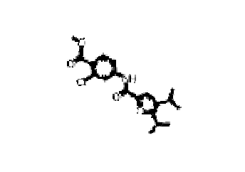 COC(=O)c1ccc(NC(=O)c2cc(C(C)C)c(C(C)C)o2)cc1Cl